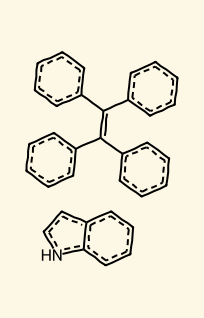 c1ccc(C(=C(c2ccccc2)c2ccccc2)c2ccccc2)cc1.c1ccc2[nH]ccc2c1